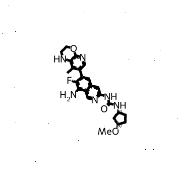 CO[C@H]1CC[C@@H](NC(=O)Nc2cc3cc(-c4cnc5c(c4C)NCCO5)c(F)c(N)c3cn2)C1